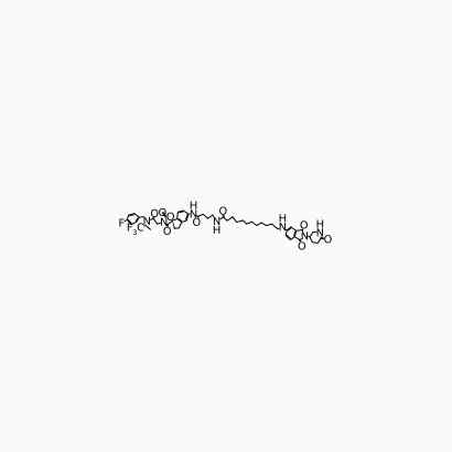 C[C@H](N(Cc1ccc(F)cc1)C(=O)CN1C(=O)O[C@@]2(CCc3cc(NC(=O)CCCNC(=O)CCCCCCCCCCCNc4ccc5c(c4)C(=O)N(C4CCC(=O)NC4)C5=O)ccc32)C1=O)C(F)(F)F